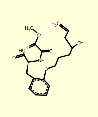 C=CCC(C)CCCOc1ccccc1C[C@H](NC(=O)C(=O)OC)C(=O)O